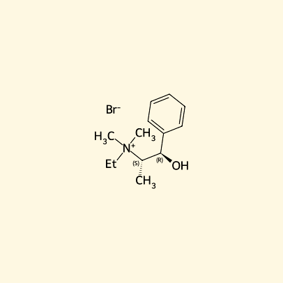 CC[N+](C)(C)[C@@H](C)[C@H](O)c1ccccc1.[Br-]